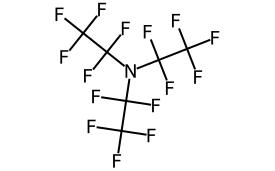 FC(F)(F)C(F)(F)N(C(F)(F)C(F)(F)F)C(F)(F)C(F)(F)F